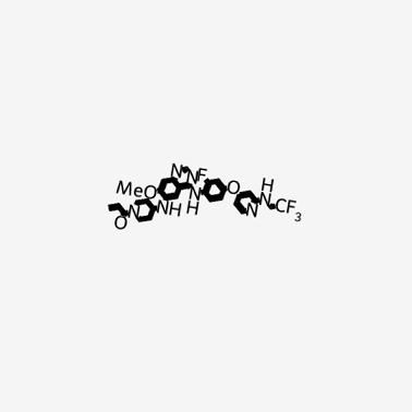 C=CC(=O)N1CCC(Nc2cc3c(Nc4ccc(Oc5ccnc(NCC(F)(F)F)c5)cc4F)ncnc3cc2OC)CC1